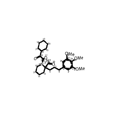 COc1cc(CCCC2(C(N)=O)CCCCN2C(=O)C(=O)C2CCCCC2)cc(OC)c1OC